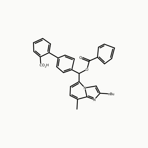 CCCCc1cn2c(C(OC(=O)c3ccccc3)c3ccc(-c4ccccc4C(=O)O)cc3)ccc(C)c2n1